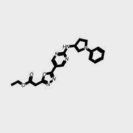 CCOC(=O)Cc1nnc(-c2cnc(NC3CCN(c4ccccc4)C3)nc2)o1